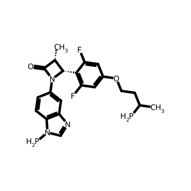 CC(P)CCOc1cc(F)c([C@H]2[C@@H](C)C(=O)N2c2ccc3c(c2)ncn3P)c(F)c1